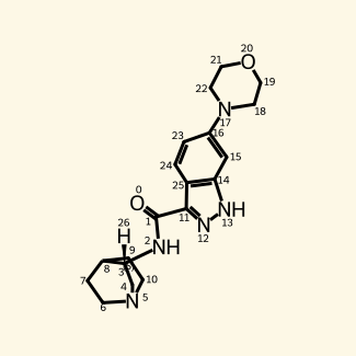 O=C(N[C@@H]1CN2CCC1CC2)c1n[nH]c2cc(N3CCOCC3)ccc12